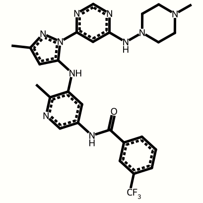 Cc1cc(Nc2cc(NC(=O)c3cccc(C(F)(F)F)c3)cnc2C)n(-c2cc(NN3CCN(C)CC3)ncn2)n1